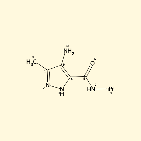 Cc1n[nH]c(C(=O)NC(C)C)c1N